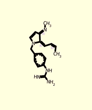 C\C=C/C=C1\C(=N\C)C=CN1Cc1ccc(NC(=N)N)cc1